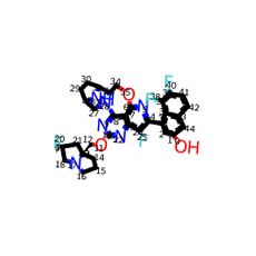 Oc1cc(-c2nc3c4c(nc(OC[C@@]56CCCN5C[C@H](F)C6)nc4c2F)N2CC4CCC(N4)C2CO3)c2c(F)c(F)ccc2c1